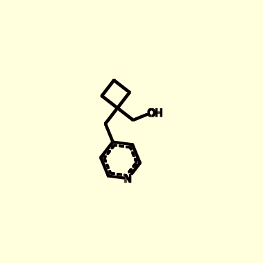 OCC1(Cc2ccncc2)CCC1